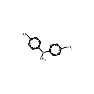 NN(c1ccc([N+](=O)[O-])cc1)c1ccc([N+](=O)[O-])cc1